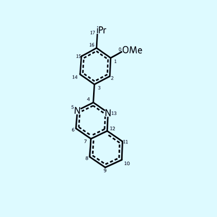 COc1cc(-c2ncc3ccccc3n2)ccc1C(C)C